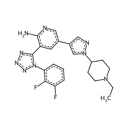 CCN1CCC(n2cc(-c3cnc(N)c(-c4nnnn4-c4cccc(F)c4F)c3)cn2)CC1